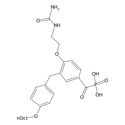 CCCCCCCCOc1ccc(Cc2cc(C(=O)P(=O)(O)O)ccc2OCCNC(N)=O)cc1